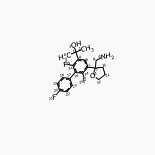 CC(C)(O)c1cc(C2(CN)CCCO2)c(F)c(-c2ccc(F)cc2)c1F